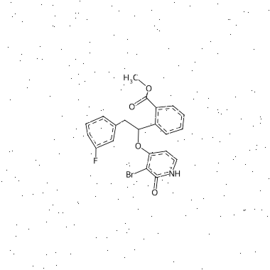 COC(=O)c1ccccc1C(Cc1cccc(F)c1)Oc1cc[nH]c(=O)c1Br